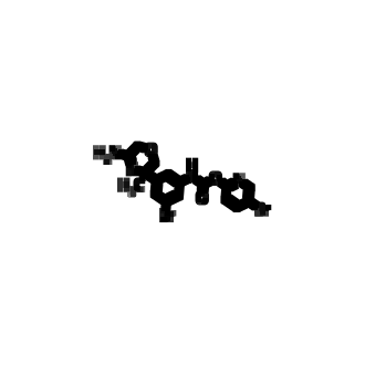 C[C@@]1(c2cc(Br)cc(NC(=O)Oc3ccc(Br)cn3)c2)COCC(N)=N1